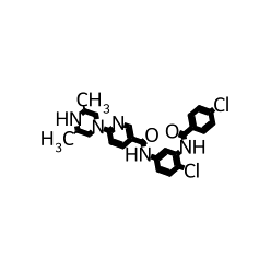 C[C@@H]1CN(c2ccc(C(=O)Nc3ccc(Cl)c(NC(=O)c4ccc(Cl)cc4)c3)cn2)C[C@H](C)N1